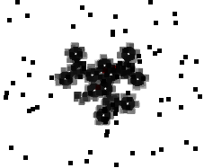 FC(F)(F)c1cccc(-c2cc(-c3nc(-c4ccccc4)cc(-c4ccccc4)n3)cc(-c3cccc(C(F)(F)F)c3)c2-n2c3ccc(-c4nc(-c5ccccc5)nc(-c5ccccc5)n4)cc3c3cc(-c4nc(-c5ccccc5)nc(-c5ccccc5)n4)ccc32)c1